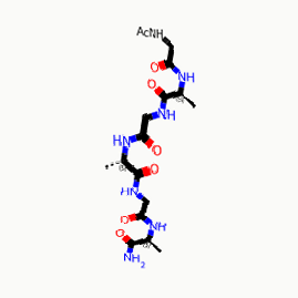 CC(=O)NCC(=O)N[C@@H](C)C(=O)NCC(=O)N[C@@H](C)C(=O)NCC(=O)N[C@@H](C)C(N)=O